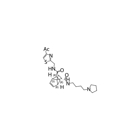 CC(=O)c1csc(CNC(=O)[C@H]2[C@H](C(=O)NCCCCN3CCCC3)[C@H]3C=C[C@@H]2C32CC2)n1